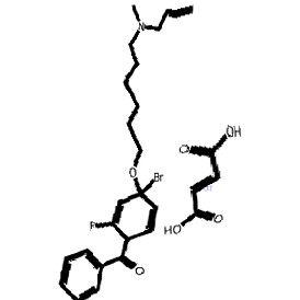 C=CCN(C)CCCCCCOC1(Br)C=CC(C(=O)c2ccccc2)C(F)=C1.O=C(O)/C=C/C(=O)O